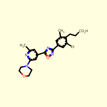 CCc1cc(-c2noc(-c3cc(C)nc(N4CCOCC4)c3)n2)cc(C)c1CCC(=O)O